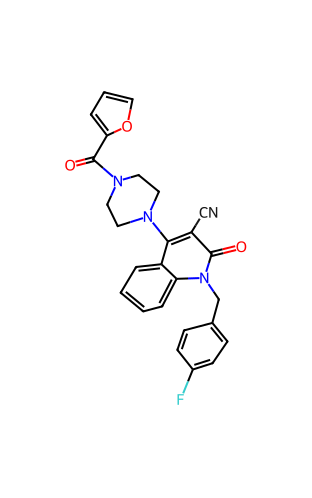 N#Cc1c(N2CCN(C(=O)c3ccco3)CC2)c2ccccc2n(Cc2ccc(F)cc2)c1=O